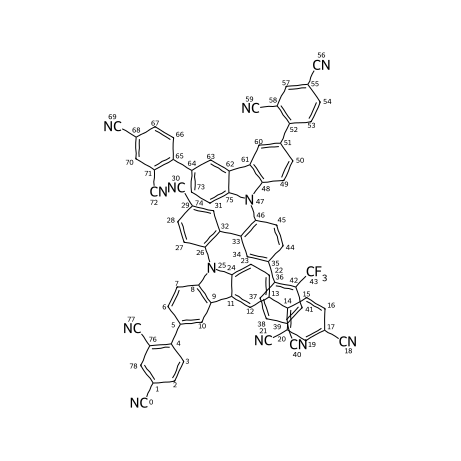 N#Cc1ccc(-c2ccc3c(c2)c2cc(-c4ccc(C#N)cc4C#N)ccc2n3-c2ccc(C#N)cc2-c2cc(-c3ccc(C#N)cc3C(F)(F)F)ccc2-n2c3ccc(-c4ccc(C#N)cc4C#N)cc3c3cc(-c4ccc(C#N)cc4C#N)ccc32)c(C#N)c1